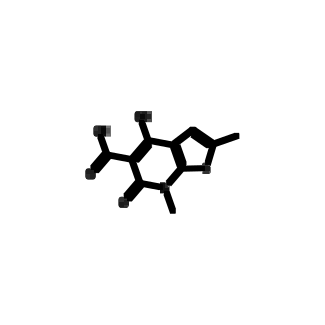 Cc1cc2c(O)c(C(=O)O)c(=O)n(C)c2s1